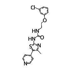 Cc1nc(NC(=O)NCCOc2cccc(Cl)c2)sc1-c1ccncc1